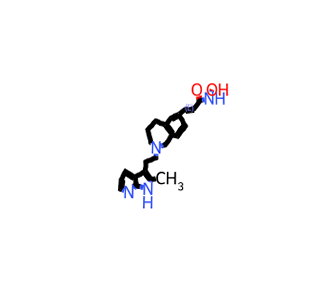 Cc1[nH]c2ncccc2c1CCN1CCCc2cc(/C=C/C(=O)NO)ccc2C1